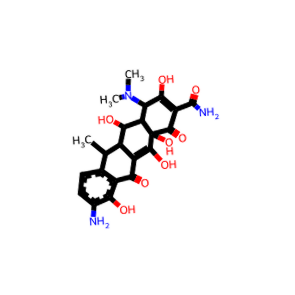 CC1c2ccc(N)c(O)c2C(=O)C2=C(O)C3(O)C(=O)C(C(N)=O)=C(O)C(N(C)C)C3C(O)C21